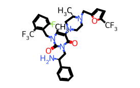 Cc1c(N2CCN(Cc3ccc(C(F)(F)F)o3)[C@@H](C)C2)c(=O)n(C[C@H](N)c2ccccc2)c(=O)n1Cc1c(F)cccc1C(F)(F)F